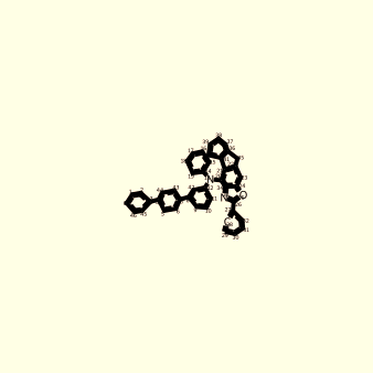 c1ccc(-c2ccc(-c3cccc(N(c4ccccc4)c4c5c(cc6oc(-c7ccccc7)nc46)Cc4ccccc4-5)c3)cc2)cc1